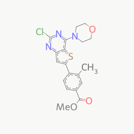 COC(=O)c1ccc(-c2cc3nc(Cl)nc(N4CCOCC4)c3s2)c(C)c1